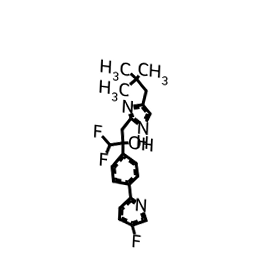 CC(C)(C)Cc1c[nH]c(CC(O)(c2ccc(-c3ccc(F)cn3)cc2)C(F)F)n1